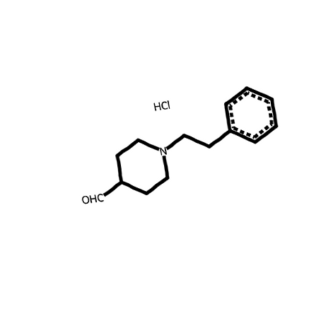 Cl.O=CC1CCN(CCc2ccccc2)CC1